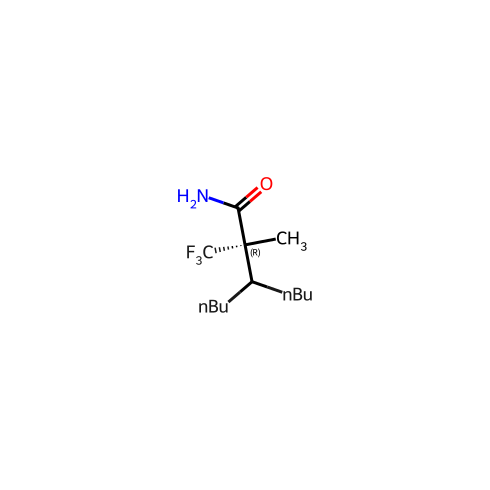 CCCCC(CCCC)[C@](C)(C(N)=O)C(F)(F)F